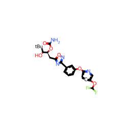 CC(C)(C)C(O)[C@H](Cc1nc(-c2cccc(Oc3ccc(OC(F)F)cn3)c2)no1)OC(N)=O